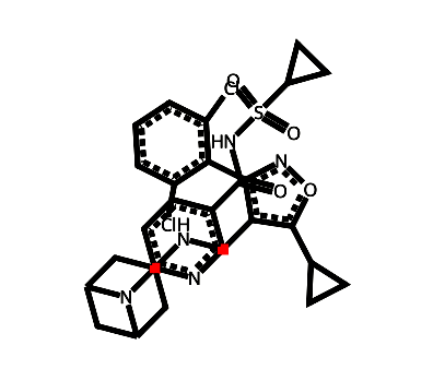 O=C(NS(=O)(=O)C1CC1)c1ccc(N2C3CC(NCc4c(-c5c(Cl)cccc5Cl)noc4C4CC4)CC2C3)nc1